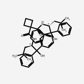 CC(C)C[C@@H](NC(=O)C1(C(=O)N[C@H](CC(C)C)C(O)(c2ccccc2)c2ccccc2)CCC1)C(O)(c1ccccc1)c1ccccc1